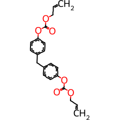 C=CCOC(=O)Oc1ccc(Cc2ccc(OC(=O)OCC=C)cc2)cc1